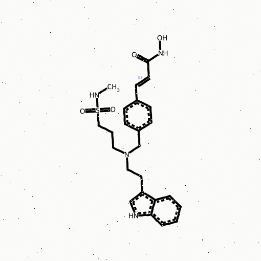 CNS(=O)(=O)CCCN(CCc1c[nH]c2ccccc12)Cc1ccc(/C=C/C(=O)NO)cc1